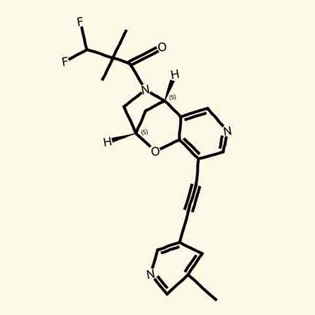 Cc1cncc(C#Cc2cncc3c2O[C@H]2C[C@@H]3N(C(=O)C(C)(C)C(F)F)C2)c1